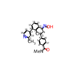 CNC(=O)c1ccc(CC/C(=N\O)c2cccc(-c3ccnc(C)c3)c2C)cc1